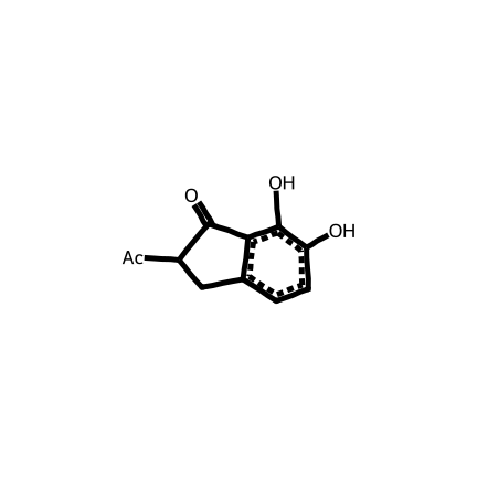 CC(=O)C1Cc2ccc(O)c(O)c2C1=O